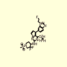 [2H]C([2H])([2H])Oc1nc(N[C@@H]2CCN(S(C)(=O)=O)CC2(F)F)nn2ccc(-c3ccc4nnn(CCF)c4c3)c12